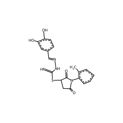 Cc1ccccc1N1C(=O)CC(SC(=N)N/N=C/c2ccc(O)c(O)c2)C1=O